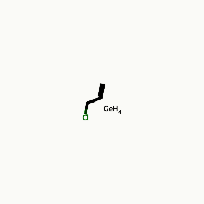 C=CCCl.[GeH4]